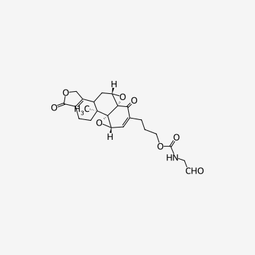 C[C@]12CCC3=C(COC3=O)C1C[C@@H]1O[C@@]13C(=O)C(CCCOC(=O)NCC=O)=C[C@@H]1O[C@]123